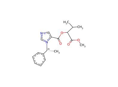 COC(=O)C(OC(=O)c1cncn1[C@H](C)c1ccccc1)C(C)C